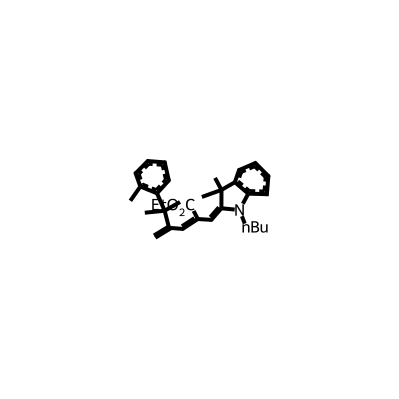 C=C(/C=C(/C=C1/N(CCCC)c2ccccc2C1(C)C)C(=O)OCC)C(C)(C)c1ccccc1C